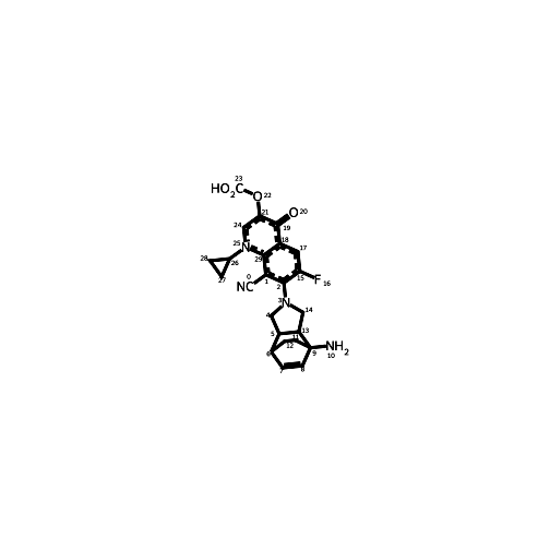 N#Cc1c(N2CC3C4C=CC(N)(CC4)C3C2)c(F)cc2c(=O)c(OC(=O)O)cn(C3CC3)c12